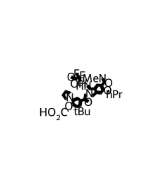 CCCOc1cc2c(cc1C(=O)NC)C(=N)N(CC(=O)c1cc(N3CCCC3)c(OCC(=O)O)c(C(C)(C)C)c1)C2.O=C(O)C(F)(F)F